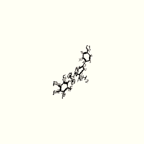 Nc1cc(-c2ccc(Cl)cc2)nn1S(=O)(=O)c1c(F)c(F)c(F)c(F)c1F